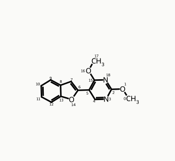 COc1ncc(-c2cc3ccccc3o2)c(OC)n1